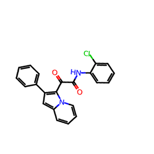 O=C(Nc1ccccc1Cl)C(=O)c1c(-c2ccccc2)cc2ccccn12